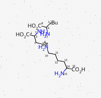 CC(C)CC(N)C(=O)O.CCC(C)C(N)C(=O)O.NCCCCC(N)C(=O)O